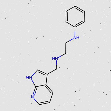 c1ccc(NCCNCc2c[nH]c3ncccc23)cc1